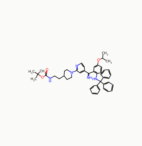 CC(C)Oc1ccc(NC(c2ccccc2)(c2ccccc2)c2ccccc2)c(C(=N)c2ccnc(N3CCC(CCNC(=O)OC(C)(C)C)CC3)c2)c1